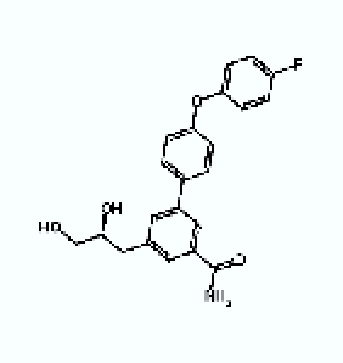 NC(=O)c1cc(C[C@H](O)CO)cc(-c2ccc(Oc3ccc(F)cc3)cc2)n1